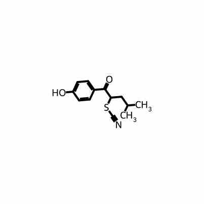 CC(C)CC(SC#N)C(=O)c1ccc(O)cc1